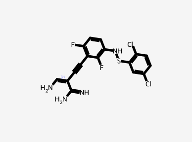 N=C(N)/C(C#Cc1c(F)ccc(NSc2cc(Cl)ccc2Cl)c1F)=C\N